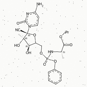 CC(C)OC(=O)[C@H](C)NP(=O)(OCC1O[C@@](C#N)(n2ccc(N)nc2=O)[C@](C)(O)[C@@H]1O)Oc1ccccc1